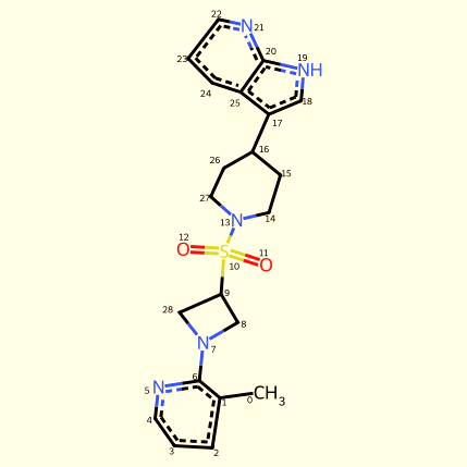 Cc1cccnc1N1CC(S(=O)(=O)N2CCC(c3c[nH]c4ncccc34)CC2)C1